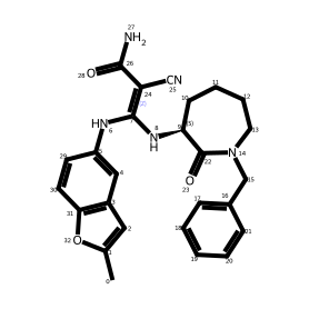 Cc1cc2cc(N/C(N[C@H]3CCCCN(Cc4ccccc4)C3=O)=C(/C#N)C(N)=O)ccc2o1